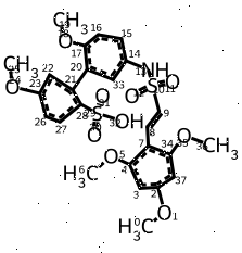 COc1cc(OC)c(C=CS(=O)(=O)Nc2ccc(OC)c(-c3cc(OC)ccc3S(=O)(=O)O)c2)c(OC)c1